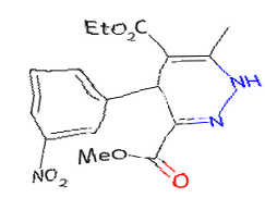 CCOC(=O)C1=C(C)NN=C(C(=O)OC)C1c1cccc([N+](=O)[O-])c1